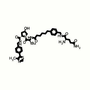 Cc1ncsc1-c1ccc(CNC(=O)[C@@H]2C[C@@H](O)CN2C(=O)[C@@H](NC(=O)CCCCCc2ccc(CNC(=O)[C@@H](N)CCC(N)=O)cc2)C(C)(C)C)cc1